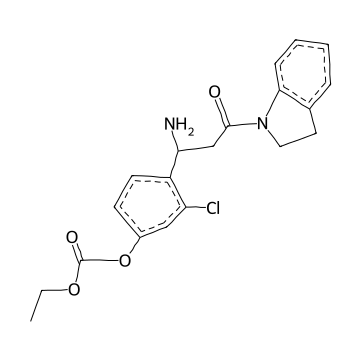 CCOC(=O)Oc1ccc(C(N)CC(=O)N2CCc3ccccc32)c(Cl)c1